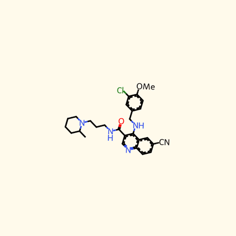 COc1ccc(CNc2c(C(=O)NCCCN3CCCCC3C)cnc3ccc(C#N)cc23)cc1Cl